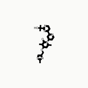 Cc1nc(COc2cc(C)n(-c3ccnc(-c4ccnc(C(C)(C)O)n4)c3)c(=O)c2C)cs1